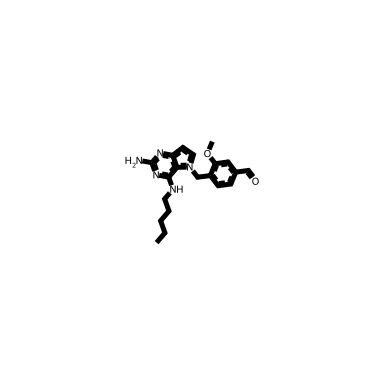 CCCCCNc1nc(N)nc2ccn(Cc3ccc(C=O)cc3OC)c12